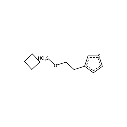 C1CCC1.O=S(=O)(O)OCCc1ccsc1